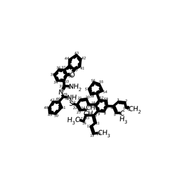 C=C/C=C\C(=C/C)c1cc(/C(=C/C=C\C)CCC)c(C/C=C\C(=C/C(=C)C)SNC(/N=C(\N)c2cccc3c2oc2ccccc23)c2ccccc2)c(-c2ccccc2)c1